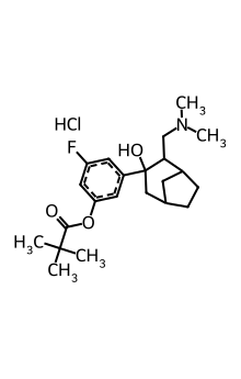 CN(C)CC1C2CCC(C2)CC1(O)c1cc(F)cc(OC(=O)C(C)(C)C)c1.Cl